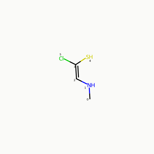 CN/C=C(\S)Cl